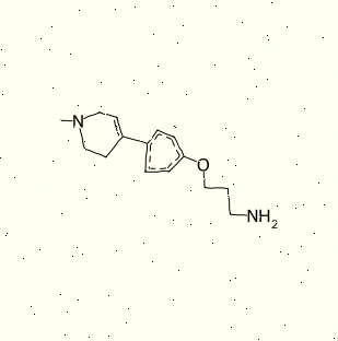 CN1CC=C(c2ccc(OCCCN)cc2)CC1